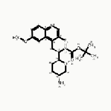 COc1ccc2ncc(F)c(C[C@@H](NC(=O)OC(C)(C)C)[C@@H]3CC[C@@H](N)CO3)c2c1